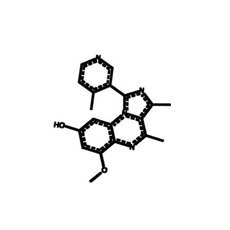 COc1cc(O)cc2c1nc(C)c1c(C)nc(-c3cnccc3C)n12